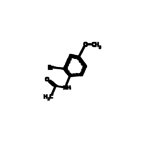 COc1ccc(NC(C)=O)c(Br)c1